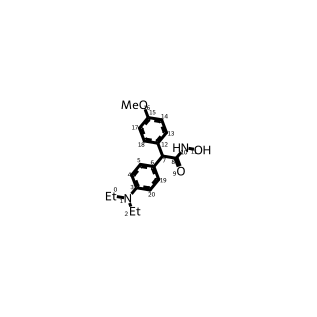 CCN(CC)c1ccc(C(C(=O)NO)c2ccc(OC)cc2)cc1